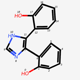 Oc1ccccc1-c1nc[nH]c1-c1ccccc1O